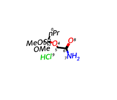 CCC[Si](OC)(OC)OCC(N)=O.Cl